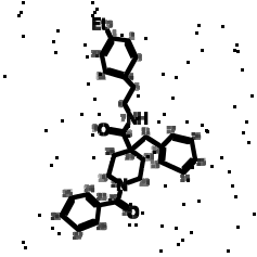 CCc1ccc(CCNC(=O)C2(Cc3ccccc3)CCN(C(=O)c3ccccc3)CC2)cc1